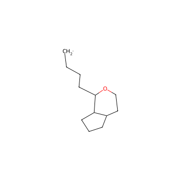 [CH2]CCCC1OCCC2CCCC21